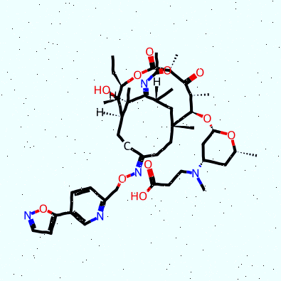 CC[C@H]1OC(=O)[C@H](C)C(=O)[C@H](C)[C@@H](O[C@H]2C[C@@H](N(C)CCC(=O)O)C[C@@H](C)O2)[C@]2(C)CC/C(=N/OCc3ccc(-c4ccno4)cn3)CC[C@H]([C@@H](C)/C(=N/C(C)=O)[C@H](C)C2)[C@]1(C)O